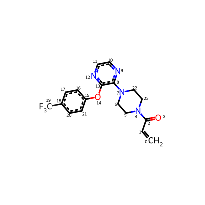 C=CC(=O)N1CCN(c2nccnc2Oc2ccc(C(F)(F)F)cc2)CC1